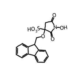 O=C1CC(OCC2c3ccccc3-c3ccccc32)(S(=O)(=O)O)C(=O)N1O